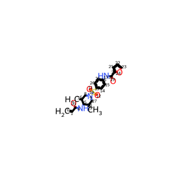 C=CC(=O)NC1C(C)CN(S(=O)(=O)c2ccc(NC(=O)c3ccco3)cc2)CC1C